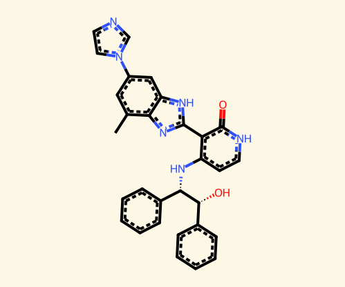 Cc1cc(-n2ccnc2)cc2[nH]c(-c3c(N[C@@H](c4ccccc4)[C@H](O)c4ccccc4)cc[nH]c3=O)nc12